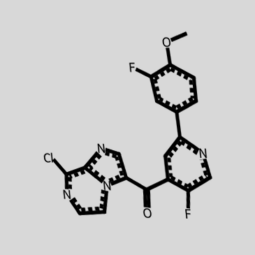 COc1ccc(-c2cc(C(=O)c3cnc4c(Cl)nccn34)c(F)cn2)cc1F